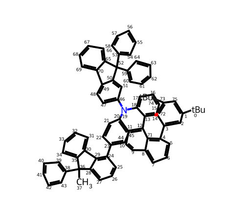 CC(C)(C)c1cc(-c2cccc3cccc(-c4ccccc4N(c4ccc(-c5cccc6c5-c5ccccc5C6(C)c5ccccc5)cc4)c4ccc5c(c4)C(c4ccccc4)(c4ccccc4)c4ccccc4-5)c23)cc(C(C)(C)C)c1